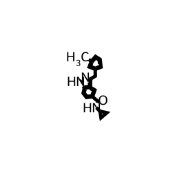 Cc1cccc(Cc2n[nH]c3ccc(C(=O)NC4CC4)cc23)c1